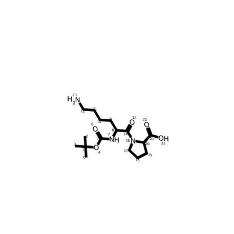 CC(C)(C)OC(=O)NC(CCCCN)C(=O)N1CCCC1C(=O)O